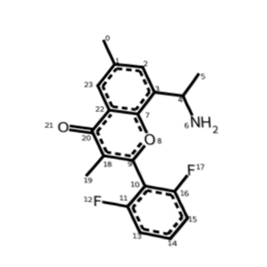 Cc1cc(C(C)N)c2oc(-c3c(F)cccc3F)c(C)c(=O)c2c1